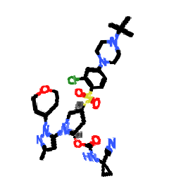 Cc1cc(N2C[C@H](S(=O)(=O)c3ccc(N4CCN(C(C)(C)C)CC4)cc3Cl)C[C@@H]2OC(=O)NC2(C#N)CC2)n(C2CCOCC2)n1